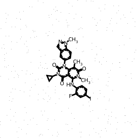 Cc1c(=O)n(C)c(Nc2ccc(I)cc2F)c2c(=O)n(C3CC3)c(=O)n(-c3ccc4c(cnn4C)c3)c12